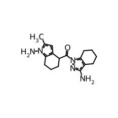 Cc1cc2c(n1N)CCCC2C(=O)n1nc(N)c2c1CCCC2